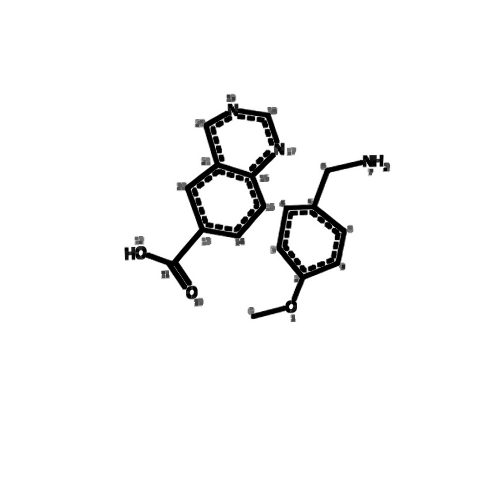 COc1ccc(CN)cc1.O=C(O)c1ccc2ncncc2c1